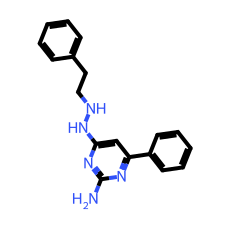 Nc1nc(NNCCc2ccccc2)cc(-c2ccccc2)n1